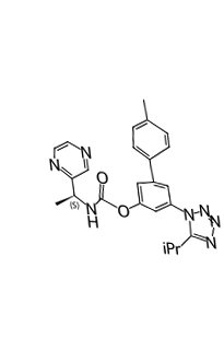 Cc1ccc(-c2cc(OC(=O)N[C@@H](C)c3cnccn3)cc(-n3nnnc3C(C)C)c2)cc1